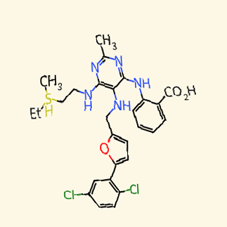 CC[SH](C)CCNc1nc(C)nc(Nc2ccccc2C(=O)O)c1NCc1ccc(-c2cc(Cl)ccc2Cl)o1